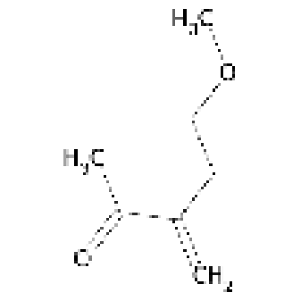 C=C(CCOC)C(C)=O